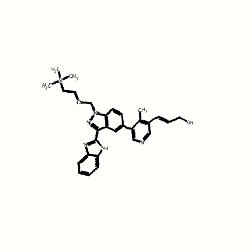 Cc1c(C=CCO)cncc1-c1ccc2c(c1)c(-c1nc3ccccc3[nH]1)nn2COCC[Si](C)(C)C